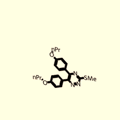 CCCOc1ccc(-c2nnc(SC)nc2-c2ccc(OCCC)cc2)cc1